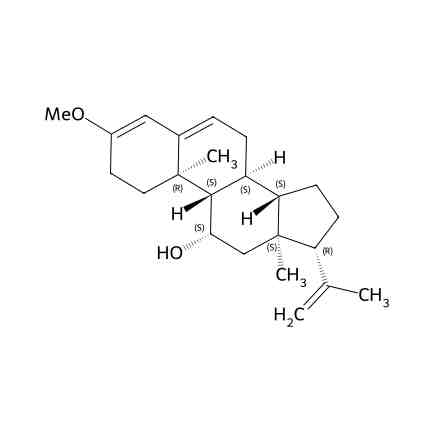 C=C(C)[C@H]1CC[C@H]2[C@@H]3CC=C4C=C(OC)CC[C@]4(C)[C@H]3[C@@H](O)C[C@]12C